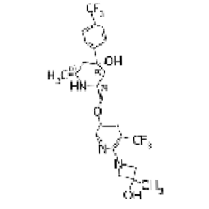 C[C@H]1C[C@@](O)(c2ccc(C(F)(F)F)cc2)C[C@@H](COc2cnc(N3CC(C)(O)C3)c(C(F)(F)F)c2)N1